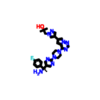 CC(C)(O)Cn1cc(-c2cc3c(N4CCN(c5ncc([C@@](C)(N)c6ccc(F)cc6)cn5)CC4)ncnn3c2)cn1